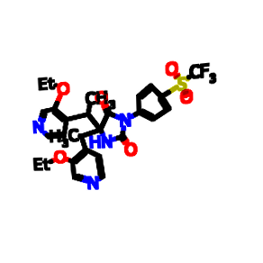 CCOc1cnccc1C(C)C1(C(C)c2ccncc2OCC)NC(=O)N(c2ccc(S(=O)(=O)C(F)(F)F)cc2)C1=O